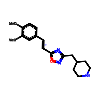 COc1ccc(/C=C/c2nc(CC3CCNCC3)no2)cc1OC